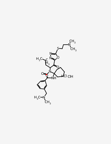 CC(C)CC(C(=O)c1nnc(SCCN(C)C)o1)N(C=O)C1(NC(=O)c2cccc(CN(C)C)c2)CCCCC1.Cl.Cl